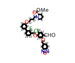 COC(=O)[C@@H]1CCCCN1CCCCOc1cccc(-c2cccc(COc3cc(OCc4ccc5nonc5c4)c(C=O)cc3Cl)c2F)c1